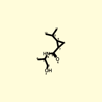 CC(CO)NC(=O)C1CC1C(C)C